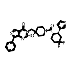 O=C([C@H]1CCC(F)(F)C[C@@H]1c1ccsc1)N1CCC(O)(Cn2cnc3c(-c4ccccc4)scc3c2=O)CC1